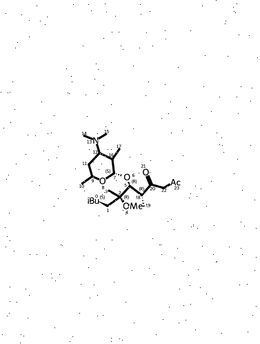 CC[C@H](C)C[C@@](C)(OC)[C@H](O[C@@H]1OC(C)CC(N(C)C)C1C)[C@@H](C)C(=O)CC(C)=O